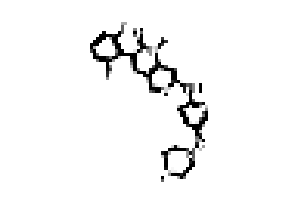 CCn1c(=O)c(-c2c(F)cccc2F)cc2cnc(Nc3ccc(ON4CCN(C)CC4)cn3)cc21